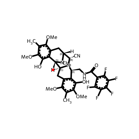 COc1c(C)c(OC)c2c(c1O)[C@H]1[C@@H]3Cc4c(OC)c(C)c(OC)c(O)c4[C@H](CNC(=O)c4c(F)c(F)c(F)c(F)c4F)N3[C@@H](C#N)[C@@H](C2)N1C